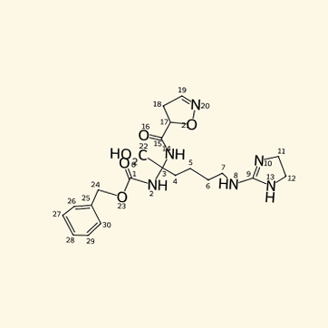 O=C(NC(CCCCNC1=NCCN1)(NC(=O)C1CC=NO1)C(=O)O)OCc1ccccc1